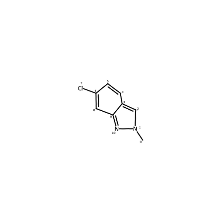 Cn1[c]c2ccc(Cl)cc2n1